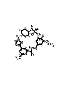 COc1cc(CNC(=O)c2cc(-c3ncn(C[C@H]4CC[C@H](NS(C)(=O)=O)CC4)n3)nc(C)n2)ccc1F